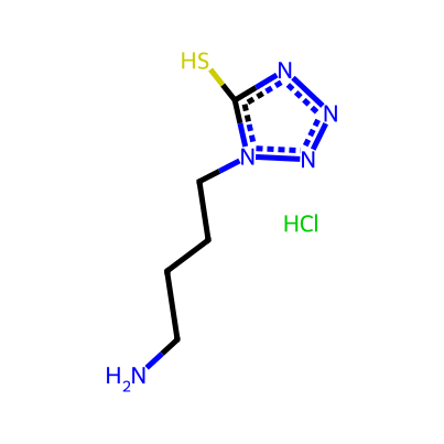 Cl.NCCCCn1nnnc1S